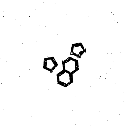 c1ccc2ncccc2c1.c1ccsc1.c1conn1